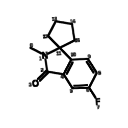 CN1C(=O)c2cc(F)ccc2C12CCCC2